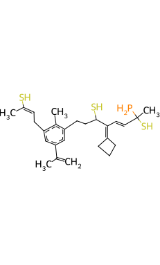 C=C(C)c1cc(C/C=C(\C)S)c(C)c(CCC(S)C(/C=C/C(C)(P)S)=C2CCC2)c1